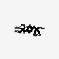 CCCCCCC(CO)(CO)Cc1ccc(CC(CO)(CO)CCCCCC)cc1